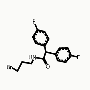 O=C(NCCCBr)C(c1ccc(F)cc1)c1ccc(F)cc1